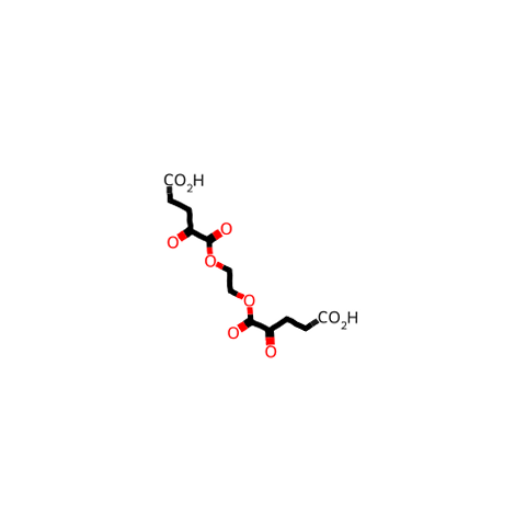 O=C(O)CCC(=O)C(=O)OCCOC(=O)C(=O)CCC(=O)O